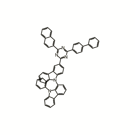 c1ccc(-c2ccc(-c3nc(-c4ccc5ccccc5c4)nc(-c4ccc5c(c4)c4ccccc4n5-c4cccc5c6ccccc6n(-c6ccccc6)c45)n3)cc2)cc1